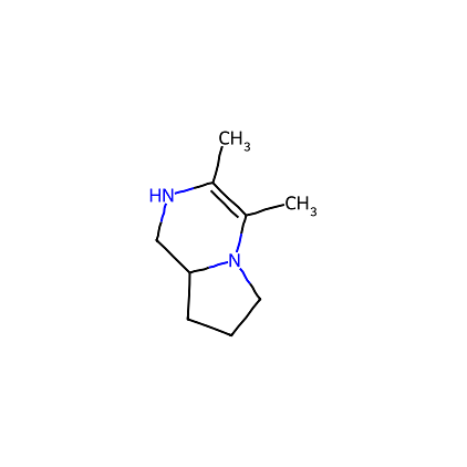 CC1=C(C)N2CCCC2CN1